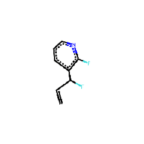 C=CC(F)c1cc[c]nc1F